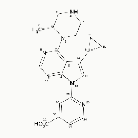 CC1CNCCN1c1ncnc2c1c(C1CC1)cn2-c1cc(C(=O)O)ccn1